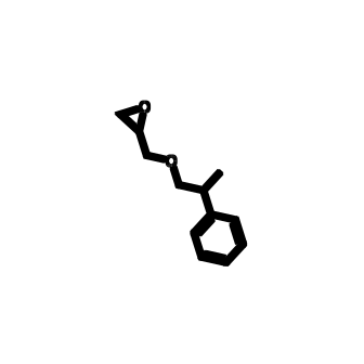 CC(COCC1CO1)c1ccccc1